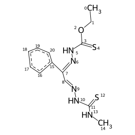 CCOC(=S)N/N=C(/C=N/NC(=S)NC)c1ccccc1